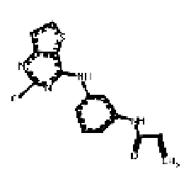 C=CC(=O)Nc1cccc(Nc2nc(Cl)nc3ccsc23)c1